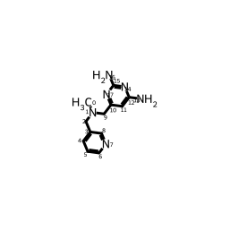 CN(Cc1cccnc1)Cc1cc(N)nc(N)n1